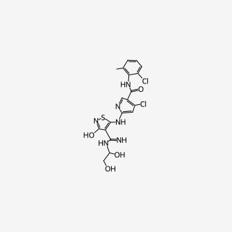 Cc1cccc(Cl)c1NC(=O)c1cnc(Nc2snc(O)c2C(=N)NC(O)CO)cc1Cl